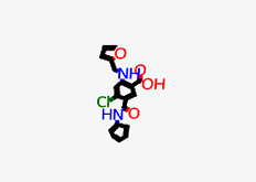 O=C(Nc1ccccc1)c1cc(C(=O)O)c(NCc2ccco2)cc1Cl